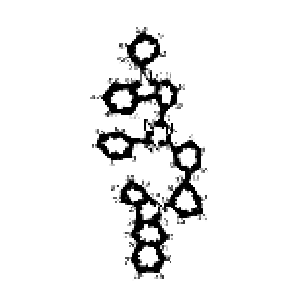 c1ccc(-c2nc(-c3cccc(-c4cccc(-n5c6ccccc6c6cc7ccccc7cc65)c4)c3)nc(-c3cccc4c3c3ccccc3n4-c3ccccc3)n2)cc1